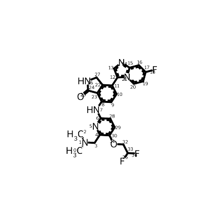 CN(C)Cc1nc(Nc2ccc(-c3cnc4cc(F)ccn34)c3c2C(=O)NC3)ccc1OCC(F)F